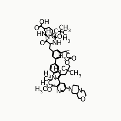 CCn1c(-c2cc(N3CCN4CCOCC4C3)cnc2[C@H](C)OC)c(CC(C)(C)COC(C)=O)c2cc(-c3cc(CF)cc(CC(NC(=O)OC(C)(C)C)C(=O)N4CCCC(C(=O)O)N4)c3)ccc21